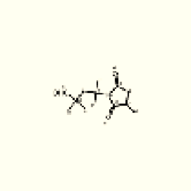 CC1CC(=O)N(C(C)(C)CC(C)(C)C=O)C1=O